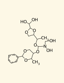 CC(OC(OC1COC(c2ccccc2)OC1C)N(O)CO)C1COC(C(O)O)O1